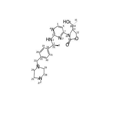 C[C@H](Nc1nccc(N2C(=O)OCC2[C@@H](C)O)n1)c1ccc(CN2CCN(C)CC2)cc1